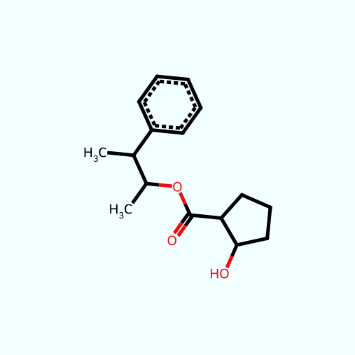 CC(OC(=O)C1CCCC1O)C(C)c1ccccc1